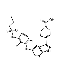 CCCS(=O)(=O)Nc1ccc(F)c(Nc2cnc3[nH]nc(C4=CCN(C(=O)O)CC4)c3c2)c1F